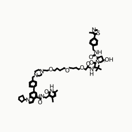 Cc1cc(C)c(CNC(=O)c2cc(-c3ccc(CN4CCN(CCOCCCCOCCCCOCC(=O)N[C@H](C(=O)N5C[C@H](O)C[C@H]5C(=O)NCc5ccc(-c6scnc6C)cc5)C(C)(C)C)CC4)cc3)cc3c2ccn3C2CCCC2)c(=O)[nH]1